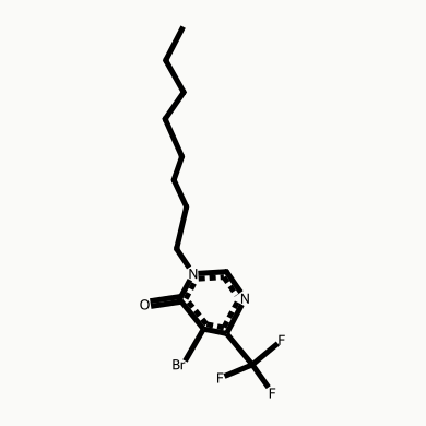 CCCCCCCCn1cnc(C(F)(F)F)c(Br)c1=O